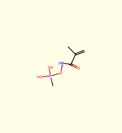 C=C(C)C(=O)NO[PH](C)(O)O